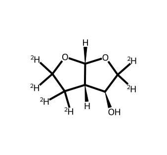 [2H]C1([2H])O[C@H]2OC([2H])([2H])C([2H])([2H])[C@H]2[C@@H]1O